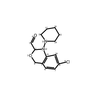 O=CC1OCc2ccc(Cl)cc2N1N1CCCCC1